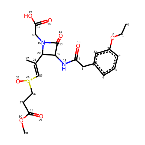 CCOc1cccc(CC(=O)NC2C(=O)N(CC(=O)O)C2C(C)=C[S+]([O-])CCC(=O)OC)c1